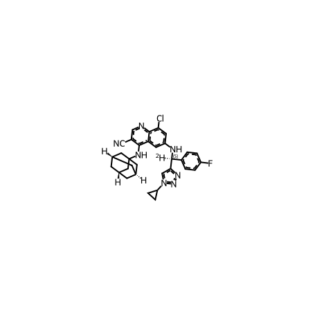 [2H][C@](Nc1cc(Cl)c2ncc(C#N)c(NC34C[C@H]5C[C@H](C3)C[C@@H](C4)C5)c2c1)(c1ccc(F)cc1)c1cn(C2CC2)nn1